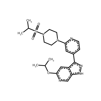 CC(C)Oc1cc2c(-c3ccnc(N4CCN(S(=O)(=O)C(C)C)CC4)c3)n[nH]c2cn1